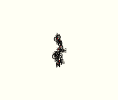 CC(C)(C)OC(=O)N1CCN(CCOc2ccc(N3C(=S)N(c4ccc(C#N)c(C(F)(F)F)c4)C(=O)C3(C)C)cc2C2CC2)CC1